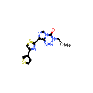 COCn1nnc2c(-c3nc(-c4ccsc4)cs3)ncn2c1=O